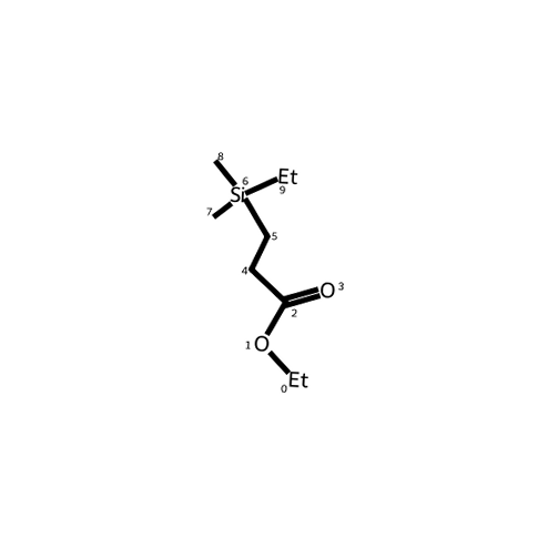 CCOC(=O)CC[Si](C)(C)CC